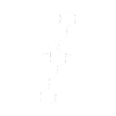 CC1(C)CC(OC(=O)c2ccccc2)CC(C)(C)N1OCc1ccccc1